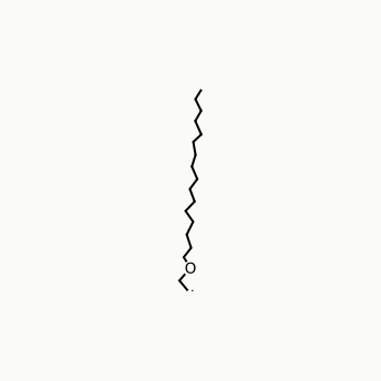 [CH2]COCCCCCCCCCCCCCCCC